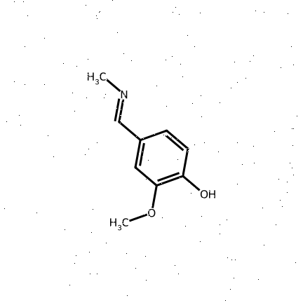 C/N=C/c1ccc(O)c(OC)c1